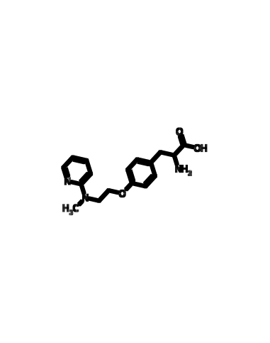 CN(CCOc1ccc(CC(N)C(=O)O)cc1)c1ccccn1